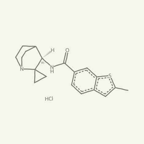 Cc1cc2ccc(C(=O)N[C@@H]3C4CCN(CC4)C34CC4)cc2s1.Cl